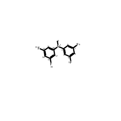 CN(c1cc(F)cc(F)c1)c1cc(F)cc(F)c1